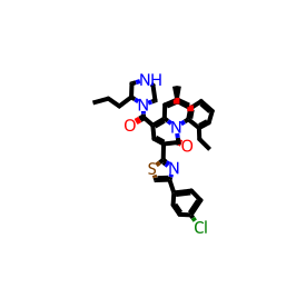 CCCC1CNCCN1C(=O)c1cc(-c2nc(-c3ccc(Cl)cc3)cs2)c(=O)n(-c2c(CC)cccc2CC)c1C=C(C)C